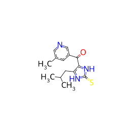 Cc1cncc(C(=O)c2[nH]c(=S)[nH]c2CC(C)C)c1